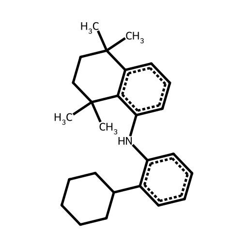 CC1(C)CCC(C)(C)c2c(Nc3ccccc3C3CCCCC3)cccc21